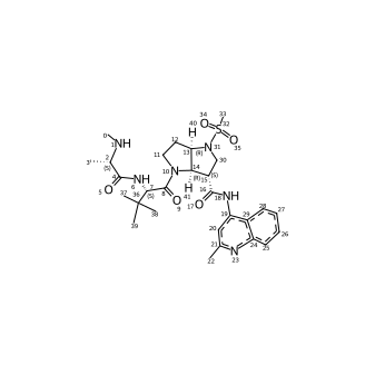 CN[C@@H](C)C(=O)N[C@H](C(=O)N1CC[C@@H]2[C@H]1[C@@H](C(=O)Nc1cc(C)nc3ccccc13)CN2S(C)(=O)=O)C(C)(C)C